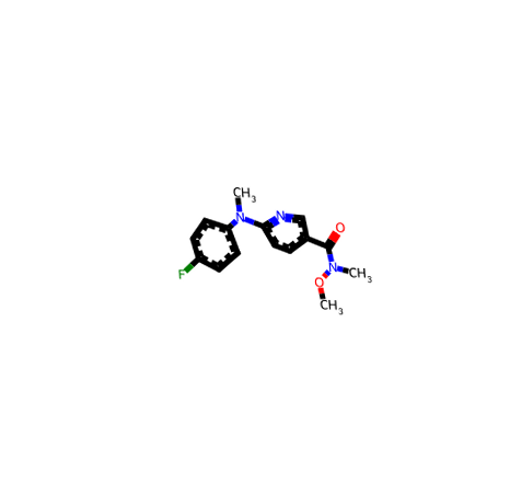 CON(C)C(=O)c1ccc(N(C)c2ccc(F)cc2)nc1